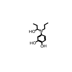 CCCN(c1ccc(O)c(O)c1)C(O)CC